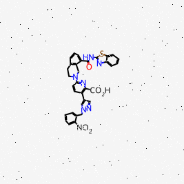 O=C(Nc1nc2ccccc2s1)c1cccc2c1CN(c1ccc(-c3cnn(Cc4ccccc4[N+](=O)[O-])c3)c(C(=O)O)n1)CC2